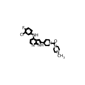 CN1CCN(C(=O)N2CC=C(c3cc4c(Nc5ccc(F)c(Cl)c5)ccnc4[nH]3)CC2)CC1